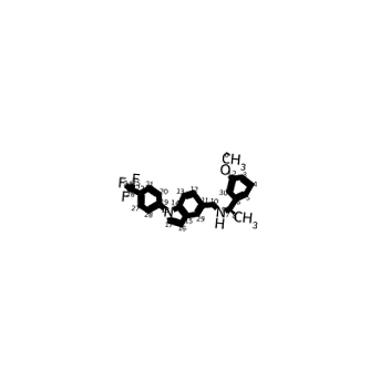 COc1cccc([C@@H](C)NCc2ccc3c(ccn3-c3ccc(C(F)(F)F)cc3)c2)c1